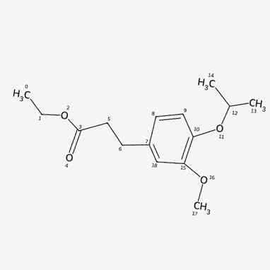 CCOC(=O)CCc1ccc(OC(C)C)c(OC)c1